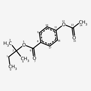 CCC(C)(C)OC(=O)c1ccc(OC(C)=O)cc1